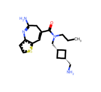 CCCN(C[C@H]1C[C@@H](CN)C1)C(=O)C1=Cc2sccc2N=C(N)C1